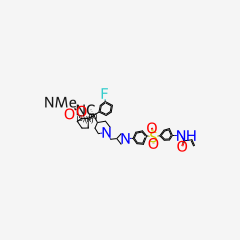 C=CC(=O)Nc1ccc(S(=O)(=O)c2ccc(N3CC(CN4CCC([C@](C#N)(c5cccc(F)c5)[C@H]5CCC[C@@H]5OC(=O)NC)CC4)C3)cc2)cc1